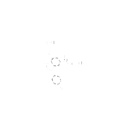 Cc1c(CCCO)c2c(c(C)c1NC(=O)O)C(c1ccc(C(C)C)cc1)CO2